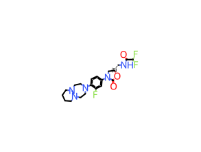 O=C(NC[C@H]1CN(c2ccc(N3CCN4CCCCN4CC3)c(F)c2)C(=O)O1)C(F)F